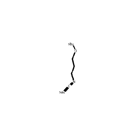 CCCCOCCCN=C=N